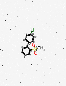 CS(=O)(=O)c1ccccc1-c1ccc(Cl)cc1